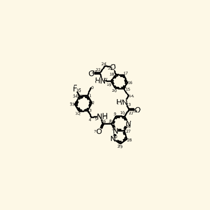 Cc1cc(CNC(=O)c2cc(C(=O)NCc3ccc4c(c3)NC(=O)CO4)nc3ccnn23)ccc1F